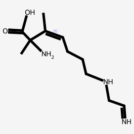 C/C(=C/CCCNCC=N)C(C)(N)C(=O)O